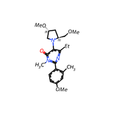 CCc1nc(-c2ccc(OC)cc2C)n(C)c(=O)c1N1C[C@H](OC)C[C@H]1COC